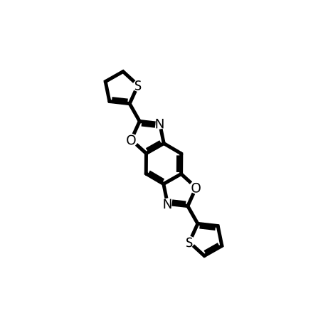 C1=C(c2nc3cc4oc(-c5cccs5)nc4cc3o2)SCC1